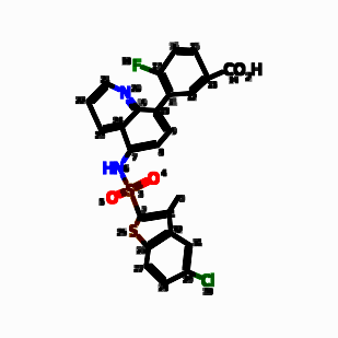 Cc1c(S(=O)(=O)Nc2ccc(-c3cc(C(=O)O)ccc3F)c3ncccc23)sc2ccc(Cl)cc12